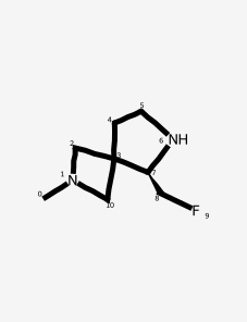 CN1CC2(CCN[C@H]2CF)C1